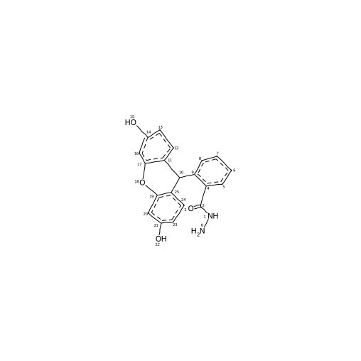 NNC(=O)c1ccccc1C1c2ccc(O)cc2Oc2cc(O)ccc21